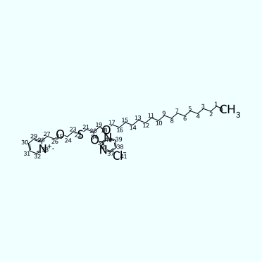 CCCCCCCCCCCCCCCCCCOCC(CSCCOCCC1=CC=CC=[N+]1)Oc1ncccn1.[Cl-]